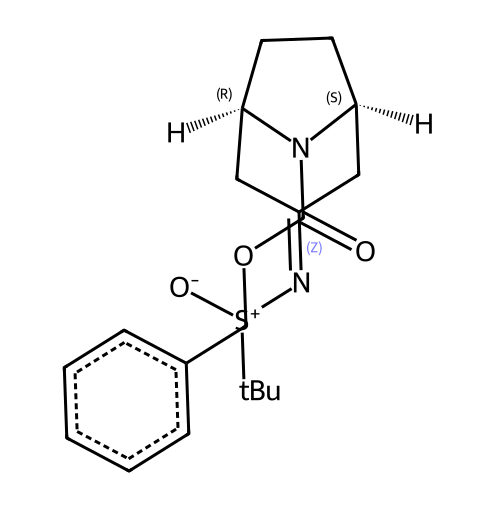 CC(C)(C)[S+]([O-])/N=C1\C[C@H]2CC[C@@H](C1)N2C(=O)OCc1ccccc1